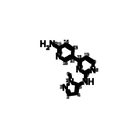 Cn1nccc1Nc1nccc(-c2ccc(N)nc2)n1